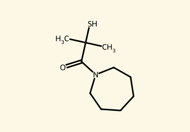 CC(C)(S)C(=O)N1CCCCCC1